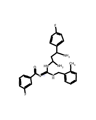 Cc1ccccc1CN/C(=N/C(=O)c1cccc(F)c1)NC(N)CC(N)c1ccc(F)cc1